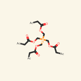 CC(=O)CC(=O)OC[PH](COC(=O)CC(C)=O)(COC(=O)CC(C)=O)COC(=O)CC(C)=O